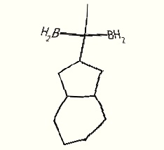 BC(B)(C)C1CC2CCCCC2C1